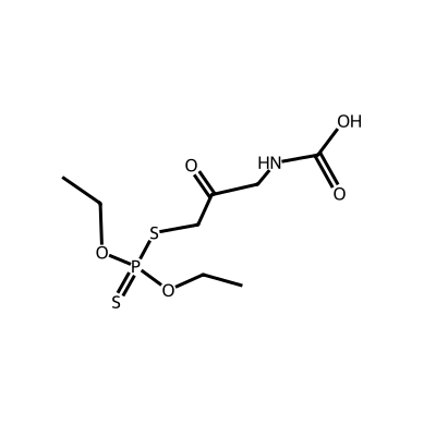 CCOP(=S)(OCC)SCC(=O)CNC(=O)O